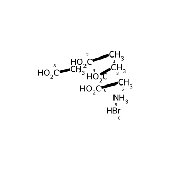 Br.CC(=O)O.CC(=O)O.CC(=O)O.CC(=O)O.N